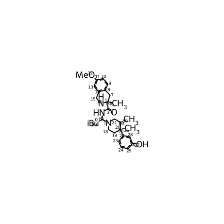 CC[C@H](C)[C@@H](NC(=O)[C@@]1(C)Cc2ccc(OC)cc2CN1)N1CC[C@@](C)(c2cccc(O)c2)[C@@H](C)C1